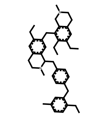 CCc1ccc(C)cc1Cc1ccc(CC2c3cc(Cc4c(CC)c(CC)cc5c4CN(C)CC5)c(CC)cc3CCN2C)cc1